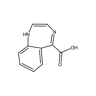 O=C(O)C1=NC=CNc2ccccc21